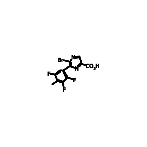 Cc1c(F)cc(-c2nc(C(=O)O)cnc2Br)c(F)c1F